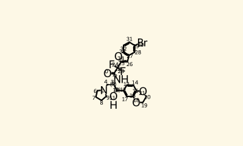 O=C(N[C@H](CN1CCCC1)[C@H](O)c1ccc2c(c1)OCCO2)C(F)(F)c1cc2cc(Br)ccc2o1